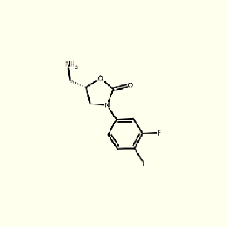 NC[C@H]1CN(c2ccc(I)c(F)c2)C(=O)O1